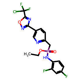 CCOP(=O)(Cc1ccc(-c2noc(C(F)(F)Cl)n2)cn1)Nc1ccc(F)cc1F